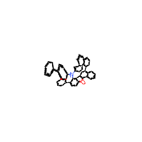 c1ccc(-c2ccc(N(c3ccc4ccccc4c3)c3c(-c4ccccc4)ccc4oc5c6ccccc6c(-c6ccccc6)cc5c34)cc2)cc1